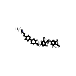 C/C=C/CCC1CCC(C2CCC(C(F)(F)Oc3cc(F)c(C(F)(F)Oc4cc(F)c(C(F)(F)F)c(F)c4)c(F)c3)CC2)CC1